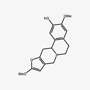 COc1cc2c(o1)CC1c3cc(O)c(OC)cc3CCN1C2